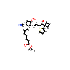 COC(=O)CCC/C=C\C[C@@H]1[C@@H](/C=C/CC(O)C2(c3cccs3)CCC2)[C@H](O)C[C@H]1C#N